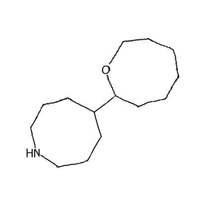 C1CCCC(C2CCCNCCC2)OCC1